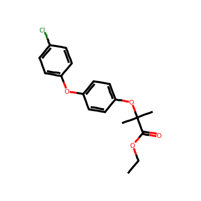 CCOC(=O)C(C)(C)Oc1ccc(Oc2ccc(Cl)cc2)cc1